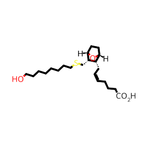 O=C(O)CCC/C=C\C[C@@H]1[C@H](CSCCCCCCCCO)[C@@H]2CC[C@H]1O2